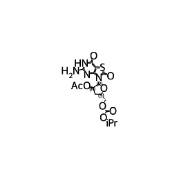 CC(=O)O[C@@H]1C[C@@H](COC(=O)OC(C)C)O[C@H]1n1c(=O)sc2c(=O)[nH]c(N)nc21